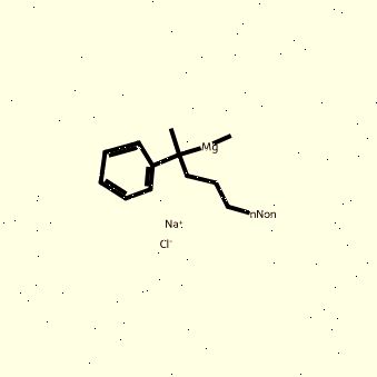 CCCCCCCCCCCC[C](C)([Mg][CH3])c1ccccc1.[Cl-].[Na+]